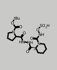 CC(C)(C)OC(=O)N1CCCC1C(=O)NNC(=O)[C@@H]1CCCCN1C(=O)NOS(=O)(=O)O